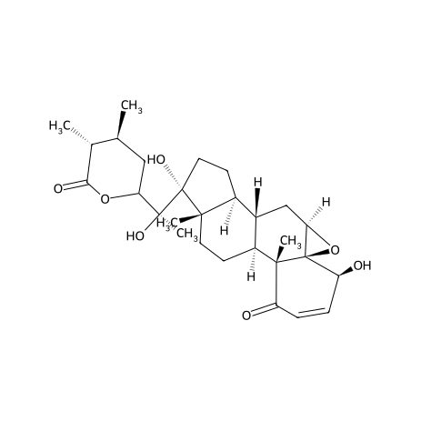 C[C@H]1CC([C@](C)(O)[C@@]2(O)CC[C@H]3[C@@H]4C[C@H]5O[C@]56[C@@H](O)C=CC(=O)[C@]6(C)[C@H]4CC[C@@]32C)OC(=O)[C@@H]1C